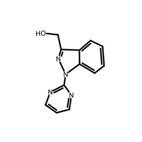 OCc1nn(-c2ncccn2)c2ccccc12